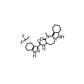 CN1C(=O)C(NC(=O)c2n[nH]c3c2C[C@@H](C(F)(F)F)CC3)CCN2NC3CCCCC3=C21